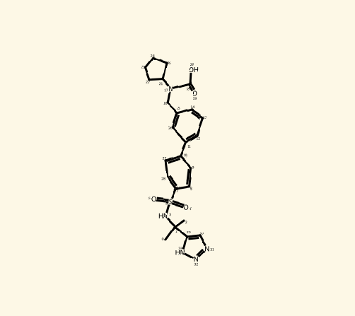 CC(C)(NS(=O)(=O)c1ccc(-c2cccc(CN(C(=O)O)C3CCCC3)c2)cc1)c1cnn[nH]1